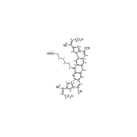 CCCCCCCCCCCCCCCCN1c2ccc(/C=C(/C#N)c3cc(/C(C#N)=C\C(=O)O)cs3)cc2Sc2cc(/C=C(/C#N)c3ccc(/C(C#N)=C\C(=O)O)s3)ccc21